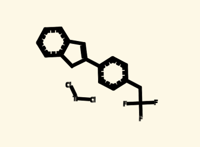 FC(F)(F)Cc1ccc(C2=Cc3ccccc3[CH]2)cc1.[Cl][Ti][Cl]